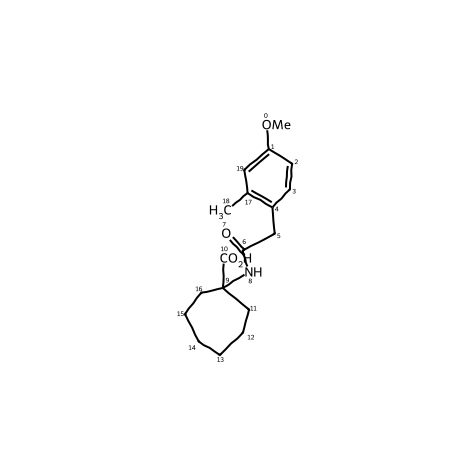 COc1ccc(CC(=O)NC2(C(=O)O)CCCCCC2)c(C)c1